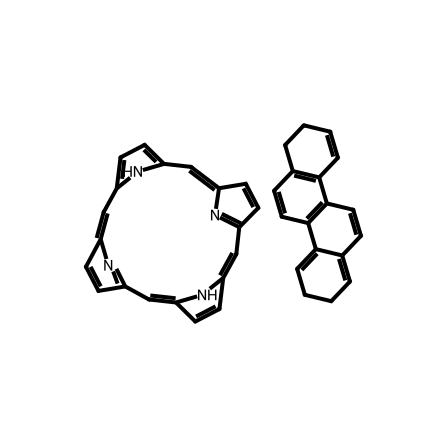 C1=Cc2c(ccc3c4c(ccc23)=CCCC=4)CC1.C1=Cc2cc3ccc(cc4nc(cc5ccc(cc1n2)[nH]5)C=C4)[nH]3